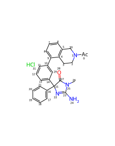 CC(=O)N1CCc2c(cccc2-c2cccc(C3(c4ccccc4)N=C(N)N(C)C3=O)c2)C1.Cl